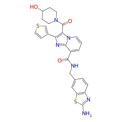 Nc1nc2ccc(CNC(=O)c3cccn4c(C(=O)N5CCC(O)CC5)c(-c5ccsc5)nc34)cc2s1